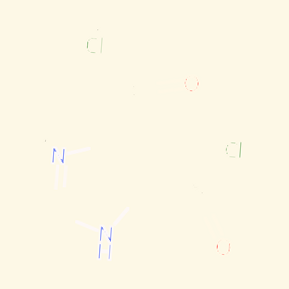 O=C(Cl)c1nc[nH]c1C(=O)Cl